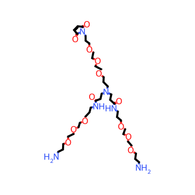 NCCCOCCOCCOCCCNC(=O)CCN(CCCOCCOCCOCCCN1C(=O)C=CC1=O)CCC(=O)NCCCOCCOCCOCCCN